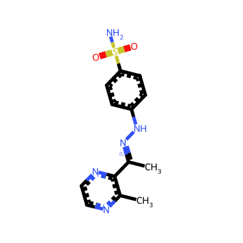 C/C(=N\Nc1ccc(S(N)(=O)=O)cc1)c1nccnc1C